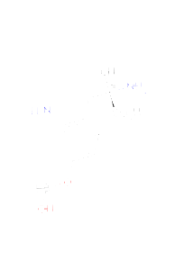 C[C@](N)(Cc1ccc(OBO)cc1N)C(=O)O